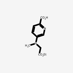 CCOC(=O)CN(C)c1ccc(C(=O)O)nc1